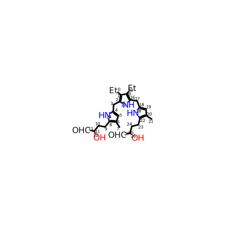 CCc1c(Cc2cc(C)c(CCC(O)C=O)[nH]2)[nH]c(Cc2cc(C)c(CCC(O)C=O)[nH]2)c1CC